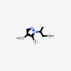 COCC(C)n1ncc(C(=O)O)c1C(F)(F)F